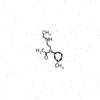 CCNCCN(C(C)=O)c1cccc(C)c1